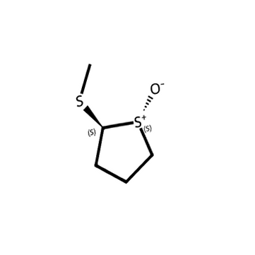 CS[C@@H]1CCC[S@@+]1[O-]